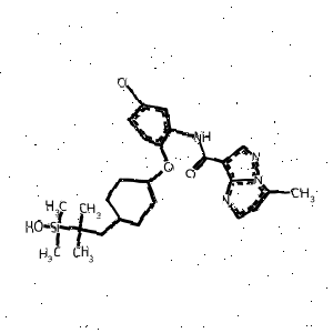 Cc1ccnc2c(C(=O)Nc3cc(Cl)ccc3OC3CCC(CC(C)(C)[Si](C)(C)O)CC3)cnn12